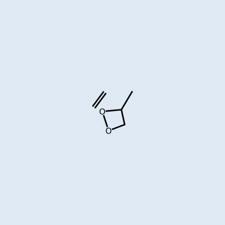 C=C.CC1COO1